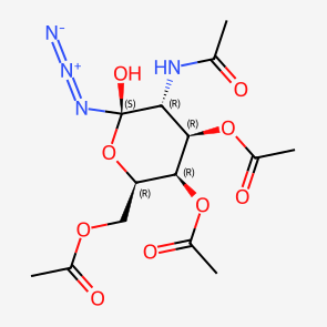 CC(=O)N[C@@H]1[C@@H](OC(C)=O)[C@@H](OC(C)=O)[C@@H](COC(C)=O)O[C@]1(O)N=[N+]=[N-]